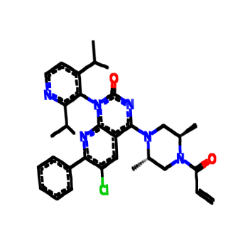 C=CC(=O)N1C[C@H](C)N(c2nc(=O)n(-c3c(C(C)C)ccnc3C(C)C)c3nc(-c4ccccc4)c(Cl)cc23)C[C@H]1C